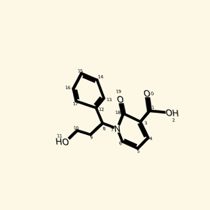 O=C(O)c1cccn(C(CCO)c2ccccc2)c1=O